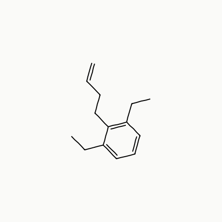 C=CCCc1c(CC)cccc1CC